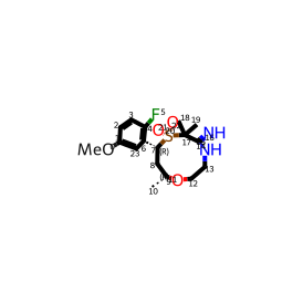 COc1ccc(F)c([C@H]2C[C@@H](C)OCCNC(=N)C(C)(C)S2(=O)=O)c1